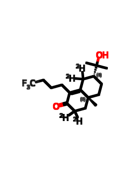 [2H]C1([2H])C[C@@]2(C)CC[C@@H](C(C)(C)O)C([2H])([2H])C2=C(CCCC(F)(F)F)C1=O